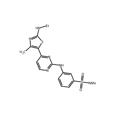 CCNc1nc(C)c(-c2ccnc(Nc3cccc(S(=O)(=O)NC)c3)n2)s1